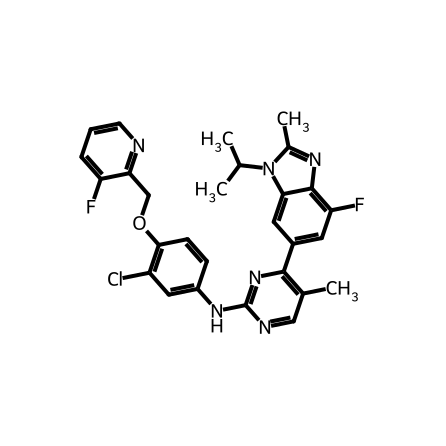 Cc1cnc(Nc2ccc(OCc3ncccc3F)c(Cl)c2)nc1-c1cc(F)c2nc(C)n(C(C)C)c2c1